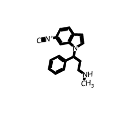 [C-]#[N+]c1ccc2ccn(C(CCNC)c3ccccc3)c2c1